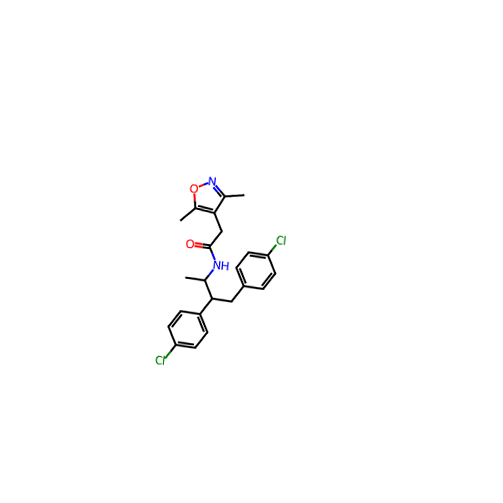 Cc1noc(C)c1CC(=O)NC(C)C(Cc1ccc(Cl)cc1)c1ccc(Cl)cc1